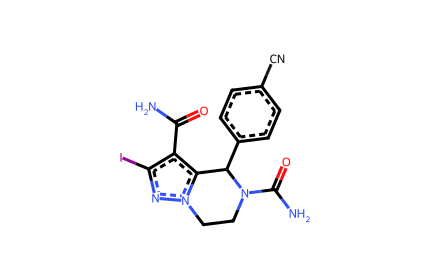 N#Cc1ccc(C2c3c(C(N)=O)c(I)nn3CCN2C(N)=O)cc1